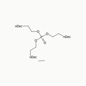 CC.CCCCCCCCCCCCOP(=O)(OCCCCCCCCCCCC)OCCCCCCCCCCCC